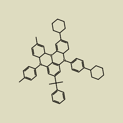 CC1=CC2B3C4=CC(C5CCCCC5)=CCC4N(c4ccc(C5CCCCC5)cc4)c4cc(C(C)(C)c5ccccc5)cc(c43)N(c3ccc(C)cc3)C2C=C1